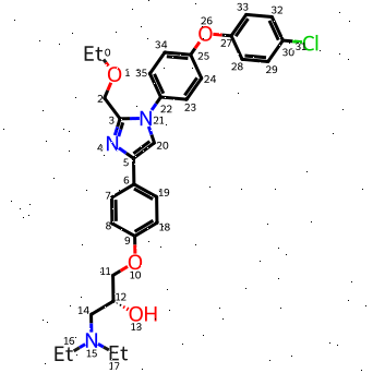 CCOCc1nc(-c2ccc(OC[C@H](O)CN(CC)CC)cc2)cn1-c1ccc(Oc2ccc(Cl)cc2)cc1